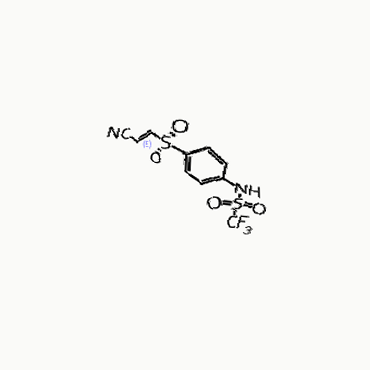 N#C/C=C/S(=O)(=O)c1ccc(NS(=O)(=O)C(F)(F)F)cc1